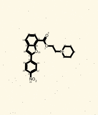 O=C(OCCN1CCCCC1)c1cccc2cc(-c3ccc([N+](=O)[O-])cc3)oc12